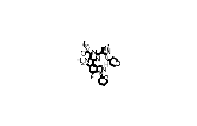 CCOC(=O)c1nc(-c2cn(C)nc2NC2CCOCC2)nc(-c2c(C)cc(F)c3c2cnn3C2CCCCO2)c1N